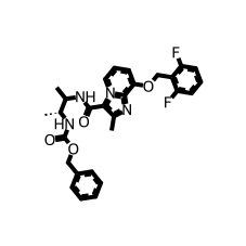 Cc1nc2c(OCc3c(F)cccc3F)cccn2c1C(=O)NC(C)[C@@H](C)NC(=O)OCc1ccccc1